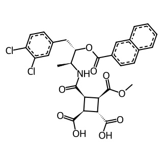 COC(=O)[C@H]1[C@H](C(=O)O)[C@@H](C(=O)O)[C@H]1C(=O)N[C@@H](C)[C@H](Cc1ccc(Cl)c(Cl)c1)OC(=O)c1ccc2ccccc2c1